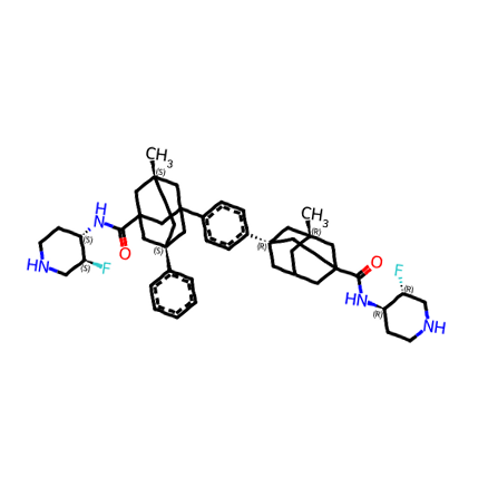 C[C@]12CC3CC(C(=O)N[C@@H]4CCNC[C@H]4F)(C1)C[C@@](c1ccc(C45CC6(C(=O)N[C@H]7CCNC[C@@H]7F)C[C@](C)(C4)C[C@@](c4ccccc4)(C6)C5)cc1)(C3)C2